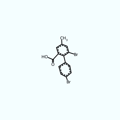 Cc1cc(Br)c(-c2ccc(Br)cc2)c(C(=O)O)c1